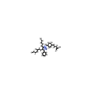 C=C/C=C\C(C)=C/Cc1c(-c2ccccc2)nn(CC2CCC(CCCC(=C)C)CC2)c1CCCCC